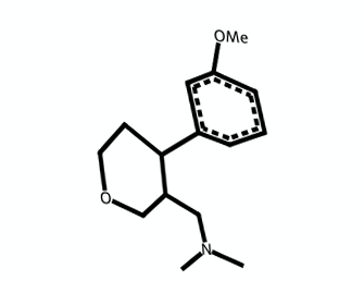 COc1cccc(C2CCOCC2CN(C)C)c1